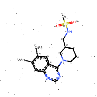 COc1cc2ncnc(N3CCCC(CNS(C)(=O)=O)C3)c2cc1OC